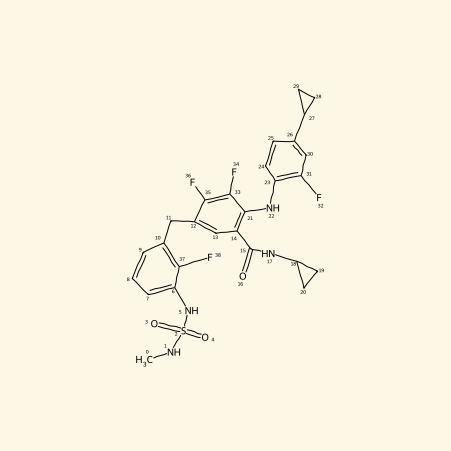 CNS(=O)(=O)Nc1cccc(Cc2cc(C(=O)NC3CC3)c(Nc3ccc(C4CC4)cc3F)c(F)c2F)c1F